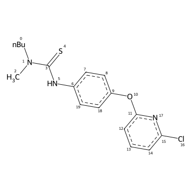 CCCCN(C)C(=S)Nc1ccc(Oc2cccc(Cl)n2)cc1